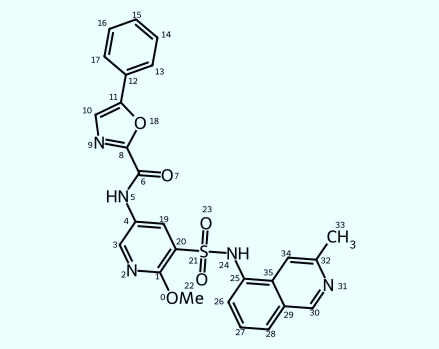 COc1ncc(NC(=O)c2ncc(-c3ccccc3)o2)cc1S(=O)(=O)Nc1cccc2cnc(C)cc12